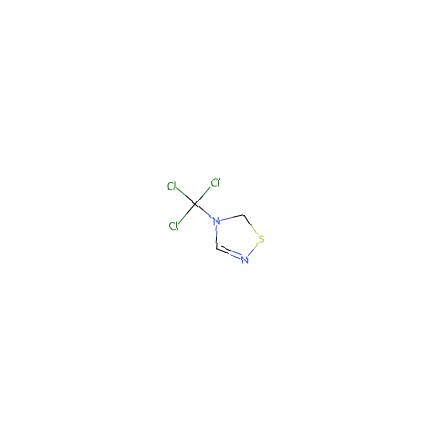 ClC(Cl)(Cl)N1C=NSC1